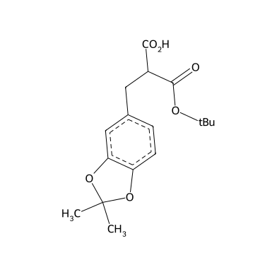 CC(C)(C)OC(=O)C(Cc1ccc2c(c1)OC(C)(C)O2)C(=O)O